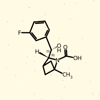 CC12CC(C1)[C@H]([C@@H](O)c1cccc(F)c1)N2C(=O)O